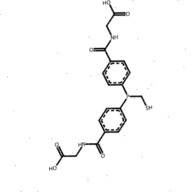 O=C(O)CNC(=O)c1ccc(P(CS)c2ccc(C(=O)NCC(=O)O)cc2)cc1